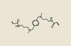 C=CC(=O)NCCCN(C)Cc1ccc(CN(C)CCCNC(=O)C=C)cc1